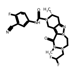 C[C@@H]1Cc2nn3c(c2CN1C(=O)Nc1ccc(F)c(C#N)c1)C(=O)N(C)N(CC(F)F)CC3